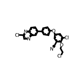 N#Cc1cc(Oc2ccc(-c3ccc4nc(Cl)cnc4c3)cc2)cc(Cl)c1OCCCl